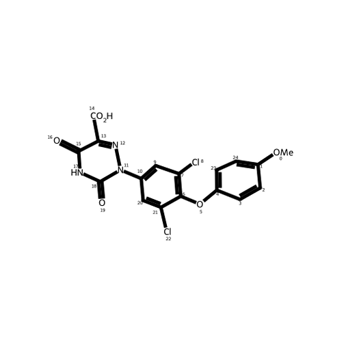 COc1ccc(Oc2c(Cl)cc(-n3nc(C(=O)O)c(=O)[nH]c3=O)cc2Cl)cc1